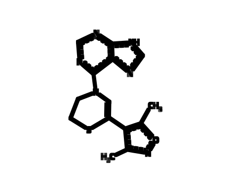 Cc1noc(C)c1C1=CN(c2ncnc3[nH]cnc23)CCS1